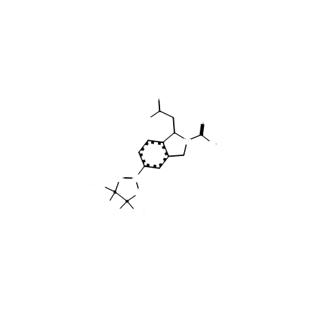 CC(C)CC1c2ccc(B3OC(C)(C)C(C)(C)O3)cc2CN1C(=O)O